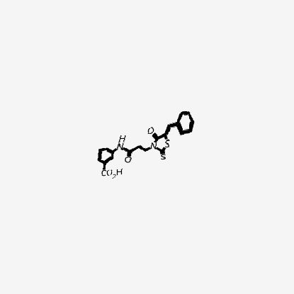 O=C(CCN1C(=O)/C(=C/c2ccccc2)SC1=S)Nc1cccc(C(=O)O)c1